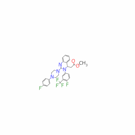 COC(=O)CC1c2ccccc2N=C(N2CCN(c3ccc(F)cc3)CC2)N1c1ccc(F)c(C(F)(F)F)c1